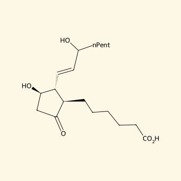 CCCCCC(O)C=C[C@H]1[C@H](O)CC(=O)[C@@H]1CCCCCC(=O)O